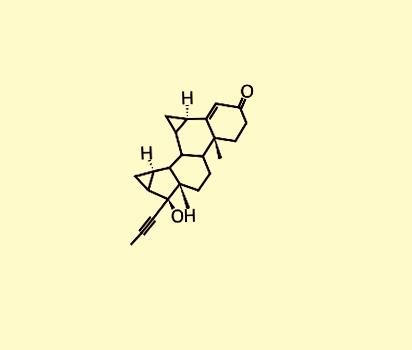 CC#C[C@]1(O)C2C[C@H]2C2C3C4C[C@H]4C4=CC(=O)CC[C@]4(C)C3CC[C@@]21C